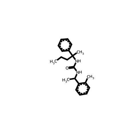 CCCC(C)(NC(=O)NC(C)c1ccccc1C)c1ccccc1